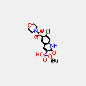 CCC(C)OP(=O)(O)c1cc2cc(S(=O)(=O)N3CCOCC3)c(Cl)cc2[nH]c1=O